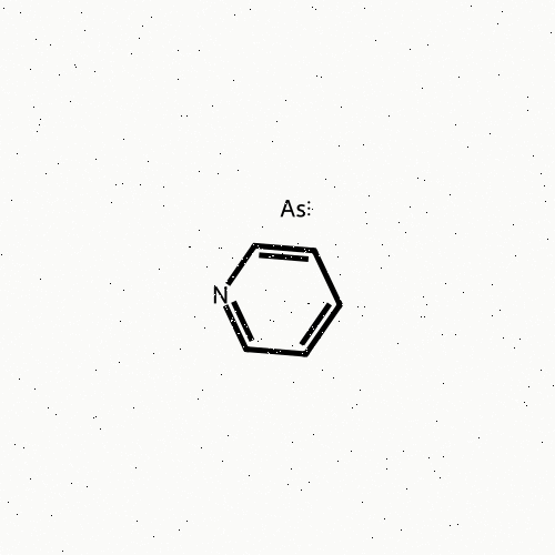 [As].c1ccncc1